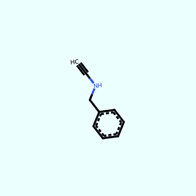 C#CNCc1ccccc1